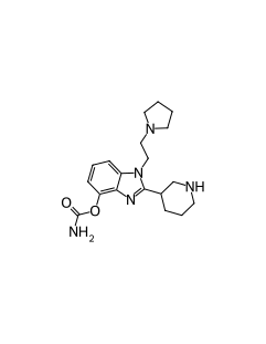 NC(=O)Oc1cccc2c1nc(C1CCCNC1)n2CCN1CCCC1